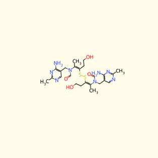 C/C(=C(\CCO)SS/C(CCO)=C(/C)N(C=O)Cc1cnc(C)nc1N)N(C=O)Cc1cnc(C)nc1N